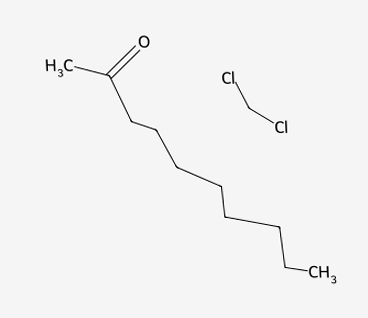 CCCCCCCCC(C)=O.ClCCl